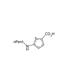 CCCCCNc1ccc(C(=O)O)s1